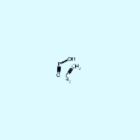 C=C.O=PO